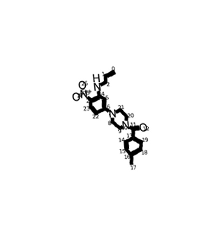 C=CCNc1cc(N2CCN(C(=O)c3ccc(C)cc3)CC2)ccc1[N+](=O)[O-]